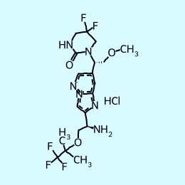 COC[C@H](c1cnn2cc([C@@H](N)COC(C)(C)C(F)(F)F)nc2c1)N1CC(F)(F)CNC1=O.Cl